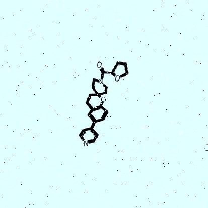 O=C([C@H]1CCCO1)N1CCC2(CCc3cc(-c4ccncc4)ccc3O2)CC1